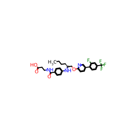 CCCC[C@@H](COc1ccc(-c2ccc(C(F)(F)F)cc2F)cn1)Nc1ccc(C(=O)NCCC(=O)O)cc1